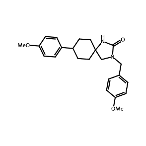 COc1ccc(CN2CC3(CCC(c4ccc(OC)cc4)CC3)NC2=O)cc1